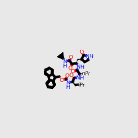 CCC[C@H](NC(=O)[C@@H](CC(C)C)NC(=O)OCC1c2ccccc2-c2ccccc21)C(=O)N[C@@H](C[C@@H]1CCNC1=O)C(=O)C(=O)NC1CC1